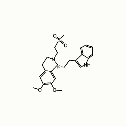 COc1cc2c(cc1OC)[C@@H](CCc1c[nH]c3ccccc13)N(CCS(C)(=O)=O)CC2